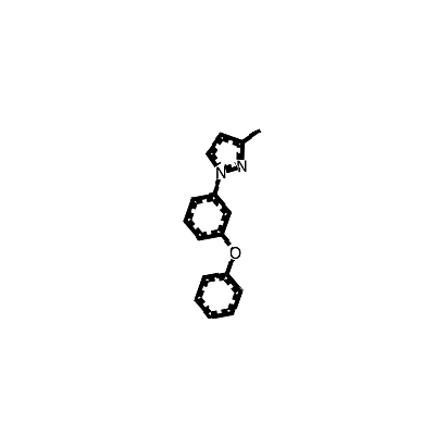 Cc1ccn(-c2cccc(Oc3ccccc3)c2)n1